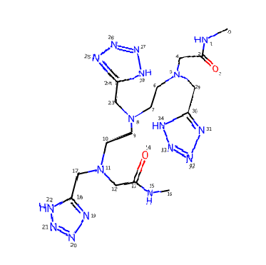 CNC(=O)CN(CCN(CCN(CC(=O)NC)Cc1nnn[nH]1)Cc1nnn[nH]1)Cc1nnn[nH]1